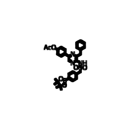 CC(=O)Oc1ccc(-c2cnc(NS(=O)(=O)Cc3ccc(B4OC(C)(C)C(C)(C)O4)cc3)c(Cc3ccccc3)n2)cc1